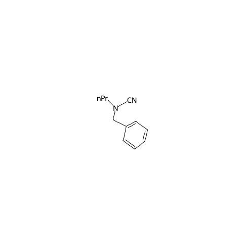 CCCN(C#N)Cc1ccccc1